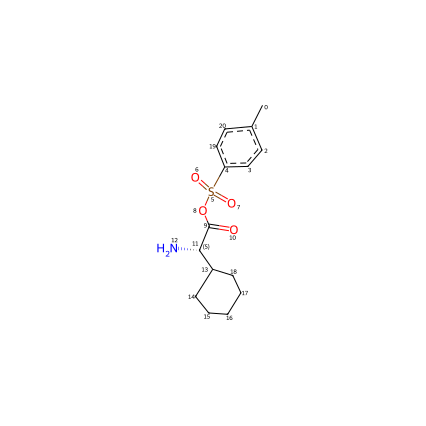 Cc1ccc(S(=O)(=O)OC(=O)[C@@H](N)C2CCCCC2)cc1